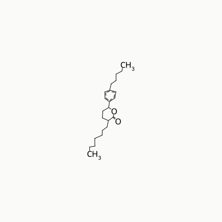 CCCCCCCC1CCC(c2ccc(CCCCC)cc2)OC1=O